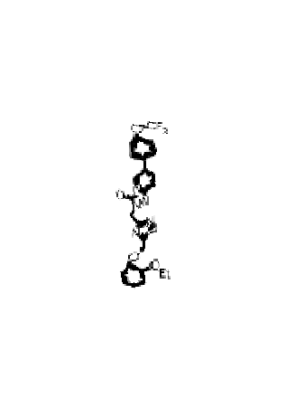 CCOc1ccccc1OCc1nc(Cn2nc3ccc(-c4ccc(OC(F)(F)F)cc4)cn3c2=O)no1